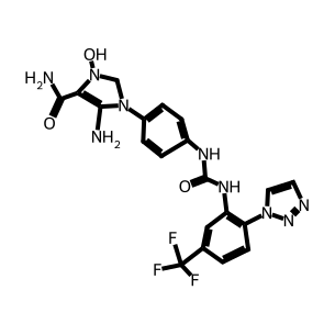 NC(=O)C1=C(N)N(c2ccc(NC(=O)Nc3cc(C(F)(F)F)ccc3-n3ccnn3)cc2)CN1O